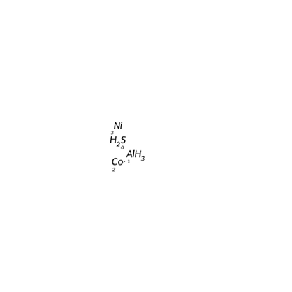 S.[AlH3].[Co].[Ni]